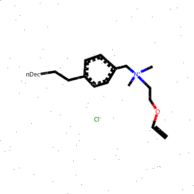 C=COCC[N+](C)(C)Cc1ccc(CCCCCCCCCCCC)cc1.[Cl-]